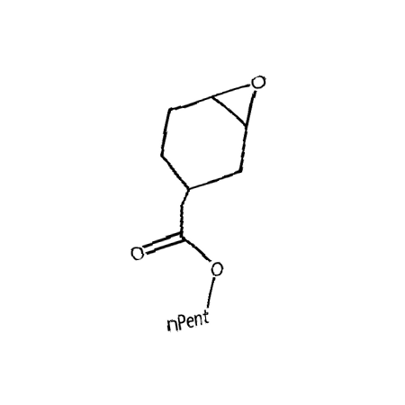 CCCCCOC(=O)C1CCC2OC2C1